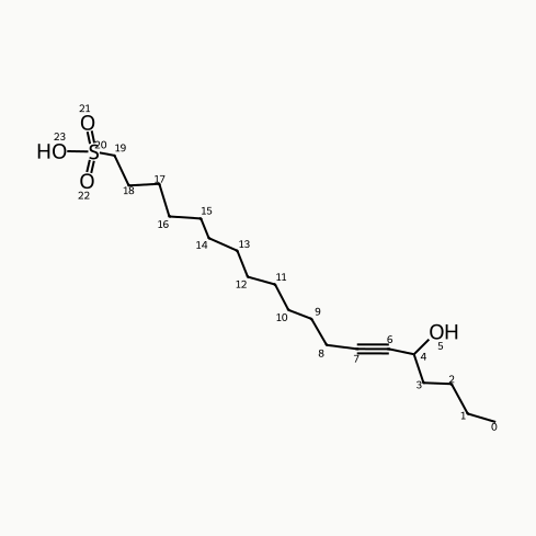 CCCCC(O)C#CCCCCCCCCCCCCS(=O)(=O)O